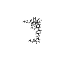 CC1CCCN1CCc1ccc(-c2ccc(C3(C(=O)N[C@H](C)C(=O)O)CCCC3)cc2)cc1